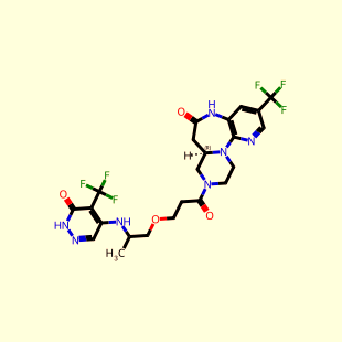 CC(COCCC(=O)N1CCN2c3ncc(C(F)(F)F)cc3NC(=O)C[C@@H]2C1)Nc1cn[nH]c(=O)c1C(F)(F)F